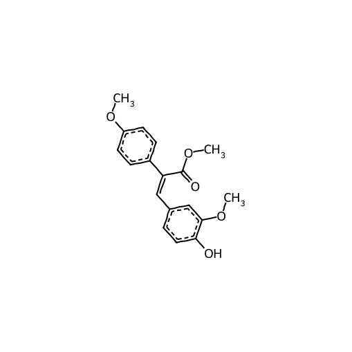 COC(=O)C(=Cc1ccc(O)c(OC)c1)c1ccc(OC)cc1